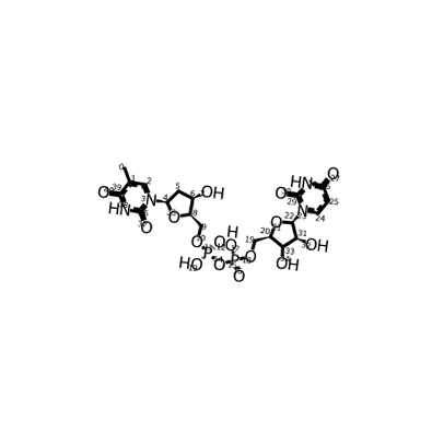 Cc1cn([C@H]2C[C@@H](O)[C@@H](COP(=O)(O)OP(=O)(O)OC[C@H]3O[C@@H](n4ccc(=O)[nH]c4=O)[C@@H](O)C3O)O2)c(=O)[nH]c1=O